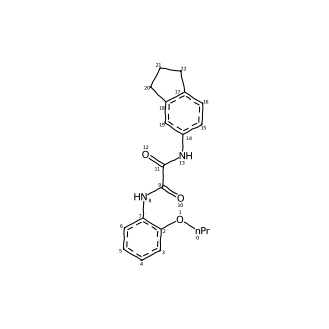 CCCOc1ccccc1NC(=O)C(=O)Nc1ccc2c(c1)CCC2